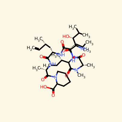 C=C[C@H](C)C[C@H](NC(=O)[C@H](CC(C)C)NC(=O)[C@H](C)N(C)C(=O)C(NC(=O)C(N)[C@H](O)C(C)C)[C@@H](C)CC)C(=O)N[C@@H](C)C(=O)N1CCCCC1C(=O)O